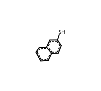 Sc1[c]c2ccccc2cc1